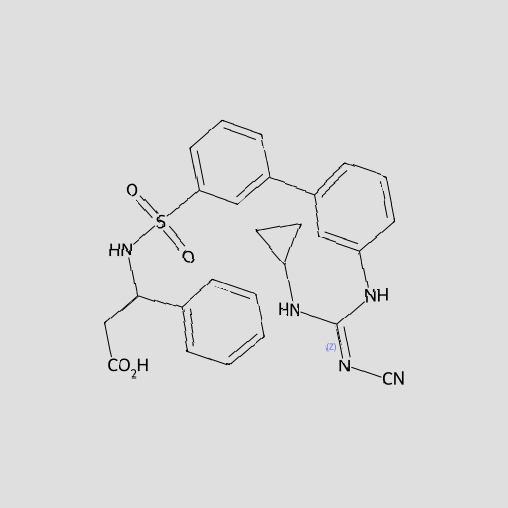 N#C/N=C(\Nc1cccc(-c2cccc(S(=O)(=O)NC(CC(=O)O)c3ccccc3)c2)c1)NC1CC1